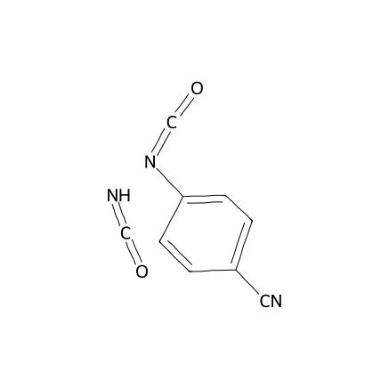 N#Cc1ccc(N=C=O)cc1.N=C=O